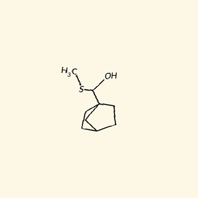 CSC(O)C12CCC(CC1)C2